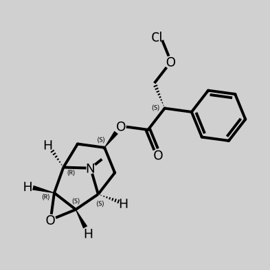 CN1[C@@H]2C[C@@H](OC(=O)[C@H](COCl)c3ccccc3)C[C@H]1[C@@H]1O[C@@H]12